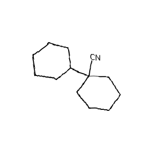 N#CC1(C2CCCCC2)CCCCC1